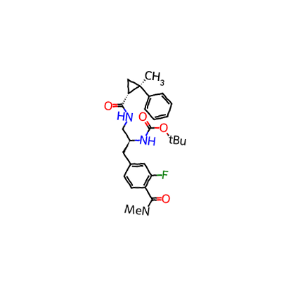 CNC(=O)c1ccc(C[C@@H](CNC(=O)[C@@H]2C[C@@]2(C)c2ccccc2)NC(=O)OC(C)(C)C)cc1F